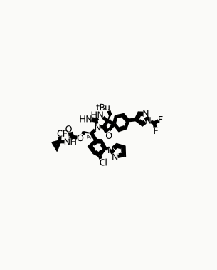 CC(C)(C)C[C@]1(C2(C)C=CC(c3cnn(C(F)F)c3)=CC2)NC(=N)N([C@H](COC(=O)NC2(C(F)(F)F)CC2)c2ccc(Cl)c(-n3cccn3)c2)C1=O